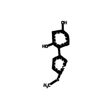 CSc1ccc(-c2ccc(O)cc2O)cc1